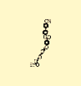 CCC(=O)OCCOCCOCCOc1ccc(C(=O)Oc2ccc(-c3ccc(C#N)cc3)cc2)cc1